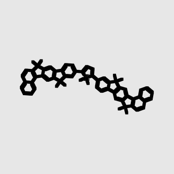 CC1(C)c2cc(C3=CC=C(c4ccc5c(c4)C(C)(C)c4cc6c(cc4-5)C(C)(C)c4ccc5ccccc5c4-6)[Si]3(C)C)ccc2-c2cc3c(cc21)-c1c(ccc2ccccc12)C3(C)C